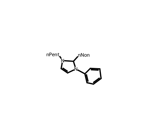 CCCCCCCCCC1N(CCCCC)C=CN1c1ccccc1